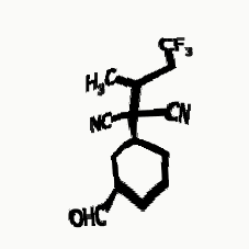 CC(CC(F)(F)F)C(C#N)(C#N)[C@H]1CCC[C@@H](C=O)C1